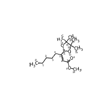 CCCCC/C(=C/C(=O)OC)B1OC(C)(C)C(C)(C)O1